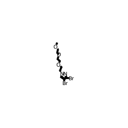 COCCOCCOCCn1cc(Br)c(Br)n1